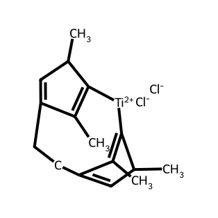 CC1=[C]2[Ti+2][C]3=C(C)C(=CC3C)CCC1=CC2C.[Cl-].[Cl-]